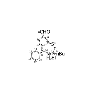 CCCC[C@]1(CC)CSc2cc(C=O)ccc2[C@H](c2ccccc2)N1